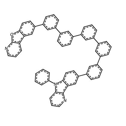 c1ccc(-n2c3ccc(-c4cccc(-c5cccc(-c6cccc(-c7cccc(-c8cccc(-c9ccc%10oc%11ncccc%11c%10c9)c8)c7)c6)c5)c4)cc3c3ncccc32)cc1